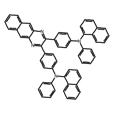 c1ccc(N(c2ccc(-c3nc4cc5ccccc5cc4nc3-c3ccc(N(c4ccccc4)c4cccc5ccccc45)cc3)cc2)c2cccc3ccccc23)cc1